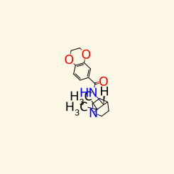 CC1(C)[C@H](NC(=O)c2ccc3c(c2)OCCO3)C2CCN1CC2